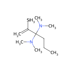 C=C([SiH3])C(CCC)(N(C)C)N(C)C